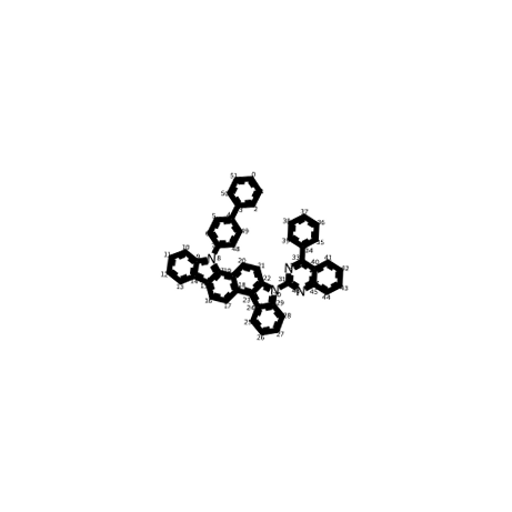 c1ccc(-c2ccc(-n3c4ccccc4c4ccc5c(ccc6c5c5ccccc5n6-c5nc(-c6ccccc6)c6ccccc6n5)c43)cc2)cc1